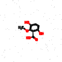 COc1c(O)ccc(O)c1C(=O)O